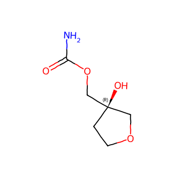 NC(=O)OC[C@@]1(O)CCOC1